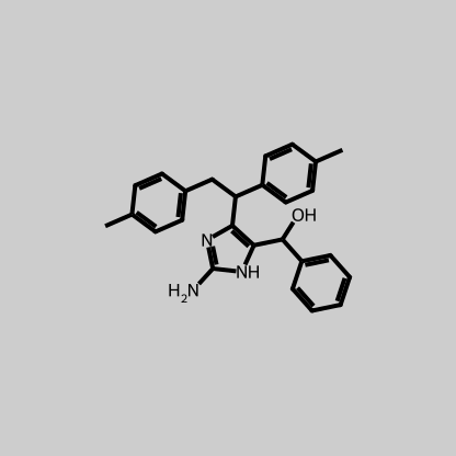 Cc1ccc(CC(c2ccc(C)cc2)c2nc(N)[nH]c2C(O)c2ccccc2)cc1